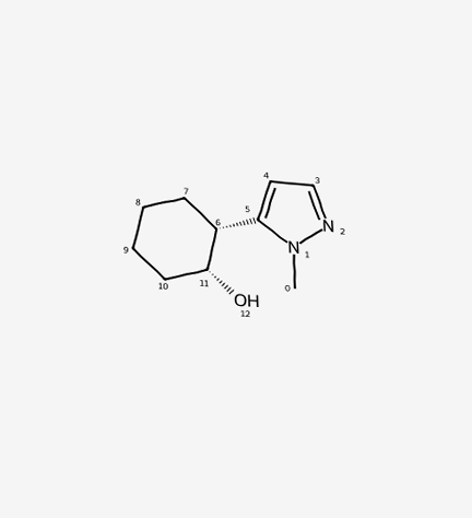 Cn1nccc1[C@H]1CCCC[C@H]1O